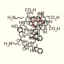 CC[C@H](C)[C@H](NC(=O)[C@@H]1CCCN1C(=O)[C@H](Cc1c[nH]c2ccccc12)NC(=O)CNC(=O)[C@H](Cc1c[nH]c2ccccc12)NC(=O)[C@H](C)NC(=O)[C@H](CCCCN)NC(=O)[C@@H](N)Cc1ccccc1)C(=O)N[C@@H](CC(=O)O)C(=O)N[C@@H](CC(=O)O)C(=O)N[C@@H](C)C(=O)N[C@H](C(=O)N[C@H](C(=O)N[C@@H](CCC(=O)O)C(=O)N[C@@H](CCCCN)C(=O)N[C@@H](CC(C)C)C(=O)O)[C@@H](C)O)[C@@H](C)O